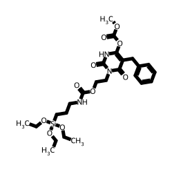 CCO[Si](CCCNC(=O)OCCn1c(=O)[nH]c(OC(=O)OC)c(Cc2ccccc2)c1=O)(OCC)OCC